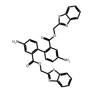 Nc1ccc(-c2ccc(N)cc2C(=O)OCc2nc3ccccc3s2)c(C(=O)OCc2nc3ccccc3s2)c1